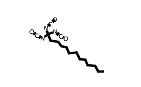 CCCCCCCCCCCCC(N=C=O)(N=C=O)N=C=O